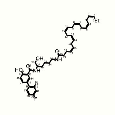 CC/C=C\C/C=C\C/C=C\C/C=C\C/C=C\C/C=C\CCC(=O)NCCCCC(CO)NC(=O)c1cc(-c2ccc(F)cc2F)ccc1O